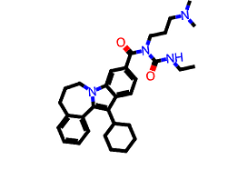 CCNC(=O)N(CCCN(C)C)C(=O)c1ccc2c(C3CCCCC3)c3n(c2c1)CCCc1ccccc1-3